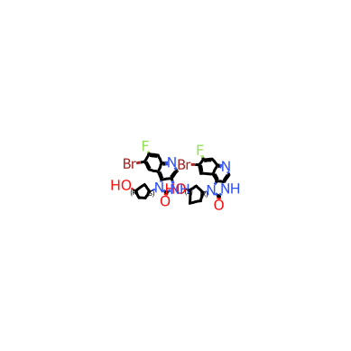 O=c1[nH]c2cnc3cc(F)c(Br)cc3c2n1[C@@H]1CC[C@H](O)C1.O=c1[nH]c2cnc3cc(F)c(Br)cc3c2n1[C@H]1CC[C@@H](O)C1